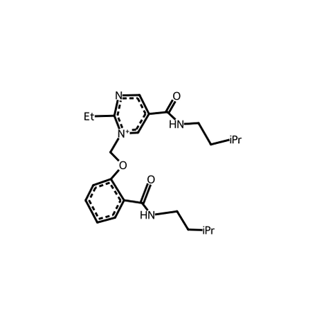 CCc1ncc(C(=O)NCCC(C)C)c[n+]1COc1ccccc1C(=O)NCCC(C)C